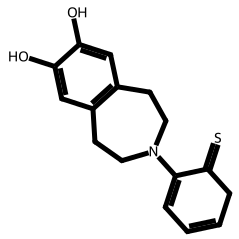 Oc1cc2c(cc1O)CCN(C1=CC=CCC1=S)CC2